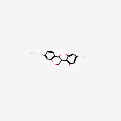 COc1ccc2c(c1)OCC1c3c(O)cc(OC)cc3OC21